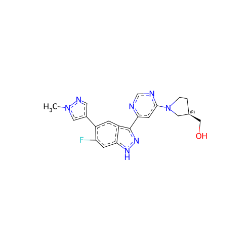 Cn1cc(-c2cc3c(-c4cc(N5CC[C@@H](CO)C5)ncn4)n[nH]c3cc2F)cn1